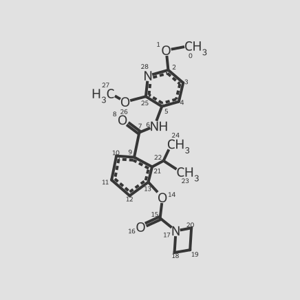 COc1ccc(NC(=O)c2cccc(OC(=O)N3CCC3)c2C(C)C)c(OC)n1